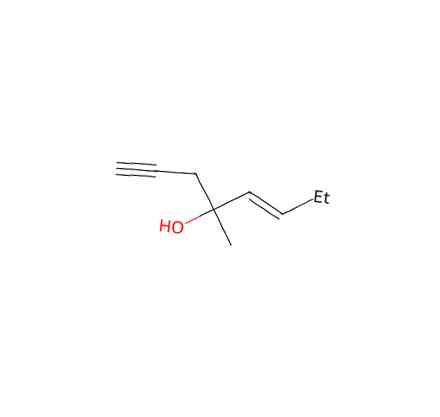 C#CCC(C)(O)/C=C/CC